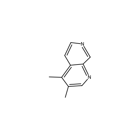 Cc1cnc2cnccc2c1C